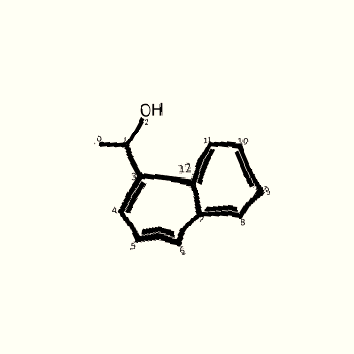 [CH2]C(O)c1cccc2ccccc12